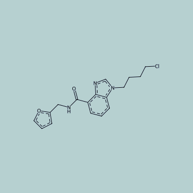 O=C(NCc1ccco1)c1cccc2c1ncn2CCCCCl